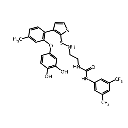 Cc1ccc(-c2ccsc2SNCCNC(=O)Nc2cc(C(F)(F)F)cc(C(F)(F)F)c2)c(Oc2ccc(O)c(O)c2)c1